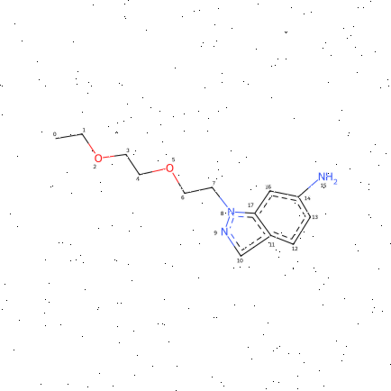 CCOCCOCCn1ncc2ccc(N)cc21